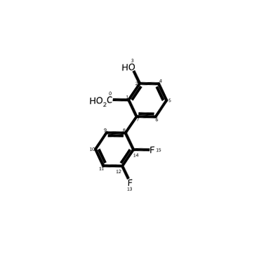 O=C(O)c1c(O)cccc1-c1cccc(F)c1F